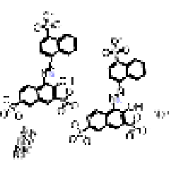 O=S(=O)([O-])c1ccc2c(/N=N/c3ccc(S(=O)(=O)[O-])c4ccccc34)c(O)c(S(=O)(=O)[O-])cc2c1.O=S(=O)([O-])c1ccc2c(/N=N/c3ccc(S(=O)(=O)[O-])c4ccccc34)c(O)c(S(=O)(=O)[O-])cc2c1.[Na+].[Na+].[Na+].[Na+].[Na+].[Na+]